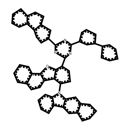 c1ccc(-c2cccc(-c3nc(-c4ccc5c(ccc6ccccc65)c4)nc(-c4ccc(-n5c6ccccc6c6cc7ccccc7cc65)c5c4oc4c6ccccc6ccc45)n3)c2)cc1